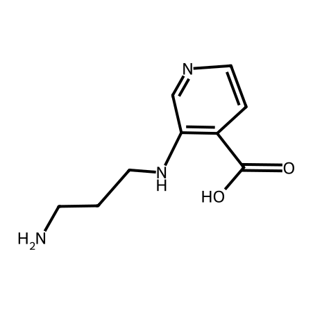 NCCCNc1cnccc1C(=O)O